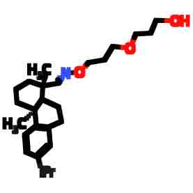 CC(C)c1ccc2c(c1)CCC1[C@@](C)(C=NOCCCOCCCO)CCC[C@]21C